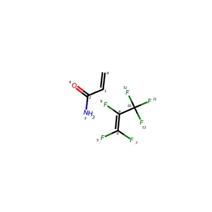 C=CC(N)=O.FC(F)=C(F)C(F)(F)F